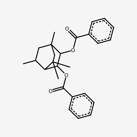 CC1CC2(C)CC(C)(C)C1C(OC(=O)c1ccccc1)C2OC(=O)c1ccccc1